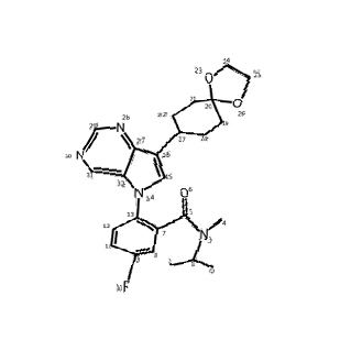 CC(C)N(C)C(=O)c1cc(F)ccc1-n1cc(C2CCC3(CC2)OCCO3)c2ncncc21